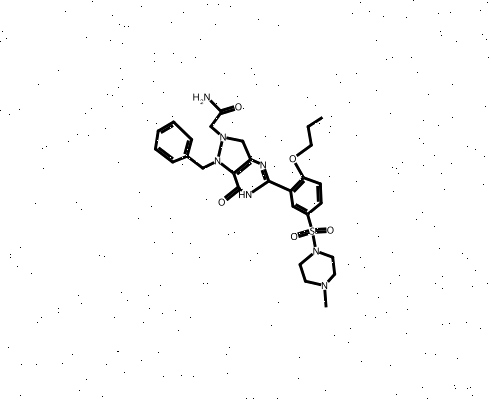 CCCOc1ccc(S(=O)(=O)N2CCN(C)CC2)cc1-c1nc2c(c(=O)[nH]1)N(Cc1ccccc1)N(CC(N)=O)C2